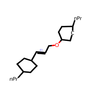 CCCC1CCC(/C=C/COC2CCC(CCC)CC2)CC1